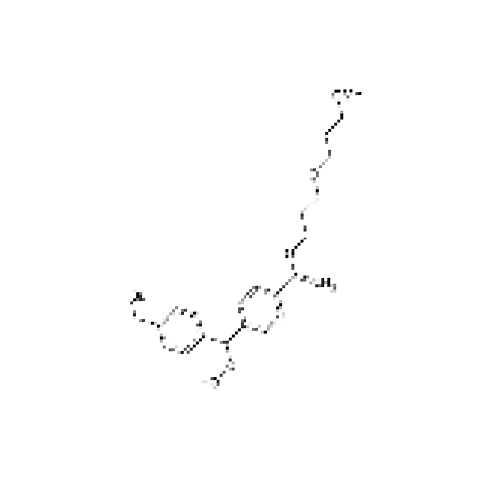 C=C(OCCCOCCCOC)c1ccc(C(OO)c2ccc(CC(C)CC)cc2)cc1